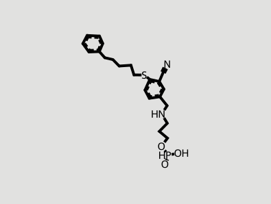 N#Cc1cc(CNCCCO[PH](=O)O)ccc1SCCCCCc1ccccc1